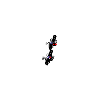 Cc1ccc2nc3c(nc2c1)N(c1c(C(C)C)cccc1C(C)C)/C(=C\C=C1\C(=O)c2cc4ccc(-c5ccc6nc7c(nc6c5)N(C56CCC(CC5)CC6)/C(=C\C=C5C(=O)c6cc8ccccc8cc6C5=O)N7C(C)C)cc4cc2C1=O)N3C(C)C